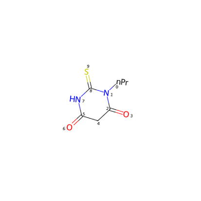 CCCN1C(=O)CC(=O)NC1=S